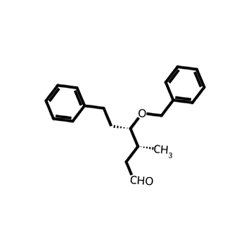 C[C@H](CC=O)[C@H](CCc1ccccc1)OCc1ccccc1